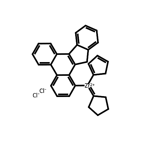 C1=CC[C]([Zr+2](=[C]2CCCC2)[c]2cccc3c2c2c(c4ccccc43)-c3ccccc3C2)=C1.[Cl-].[Cl-]